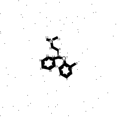 Cc1ccccc1O[C@H](CCN(C)C)c1ccccc1